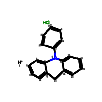 Cl.[H+].c1ccc(N2c3ccccc3Cc3ccccc32)cc1